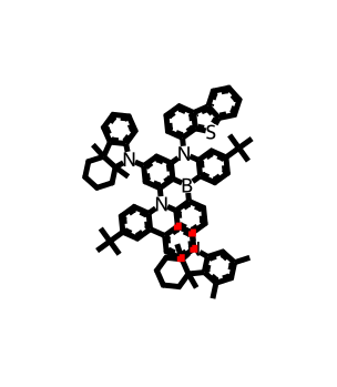 Cc1cc(C)c2c(c1)N(c1ccc3c(c1)N(c1ccc(C(C)(C)C)cc1-c1ccccc1)c1cc(N4c5ccccc5C5(C)CCCCC45C)cc4c1B3c1ccc(C(C)(C)C)cc1N4c1cccc3c1sc1ccccc13)C1(C)CCCCC21C